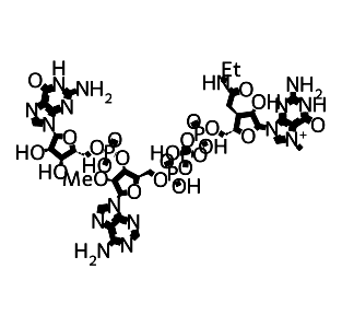 CCNC(=O)C[C@@H]1[C@@H](COP(=O)(O)OP(=O)(O)OP(=O)(O)OC[C@H]2O[C@@H](n3cnc4c(N)ncnc43)[C@H](OC)[C@@H]2OP(=O)(O)OC[C@H]2O[C@@H](n3cnc4c(=O)[nH]c(N)nc43)[C@H](O)[C@@H]2O)OC(n2c[n+](C)c3c(=O)[nH]c(N)nc32)[C@@H]1O